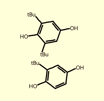 CC(C)(C)c1cc(O)cc(C(C)(C)C)c1O.CC(C)(C)c1cc(O)ccc1O